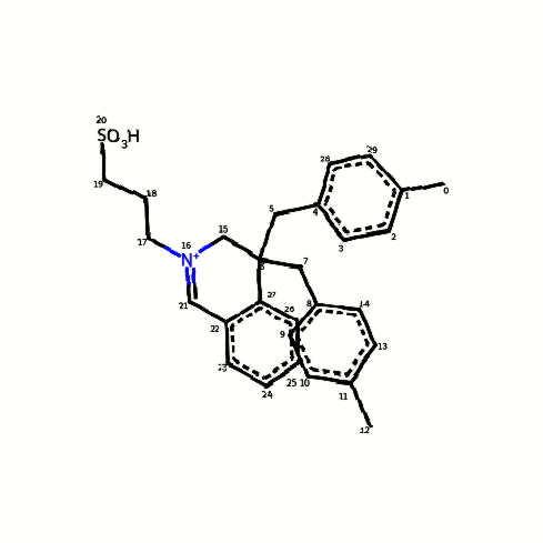 Cc1ccc(CC2(Cc3ccc(C)cc3)C[N+](CCCS(=O)(=O)O)=Cc3ccccc32)cc1